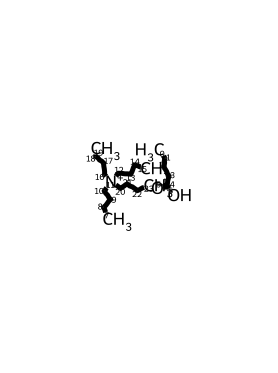 CCCCC(=O)O.CCCC[N+](CCCC)(CCCC)CCCC